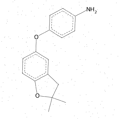 CC1(C)Cc2cc(Oc3ccc(N)cc3)ccc2O1